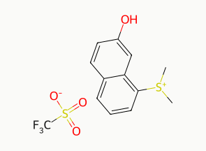 C[S+](C)c1cccc2ccc(O)cc12.O=S(=O)([O-])C(F)(F)F